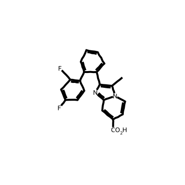 Cc1c(-c2ccccc2-c2ccc(F)cc2F)nc2cc(C(=O)O)ccn12